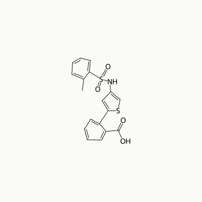 Cc1ccccc1S(=O)(=O)Nc1csc(-c2ccccc2C(=O)O)c1